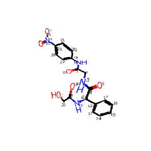 O=C(CNC(=O)[C@H](NC(=O)CO)c1ccccc1)Nc1ccc([N+](=O)[O-])cc1